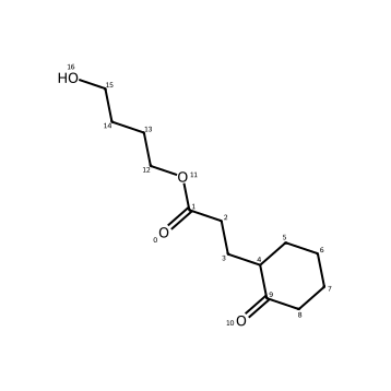 O=C(CCC1CCCCC1=O)OCCCCO